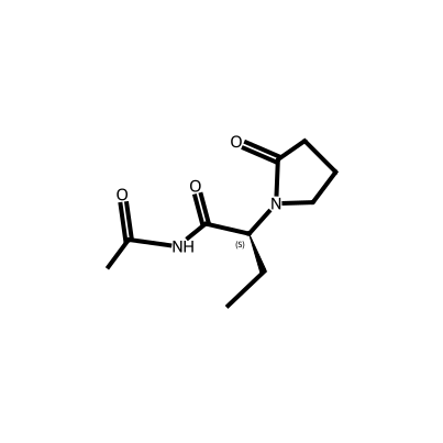 CC[C@@H](C(=O)NC(C)=O)N1CCCC1=O